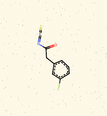 O=C(Cc1cccc(F)c1)N=C=S